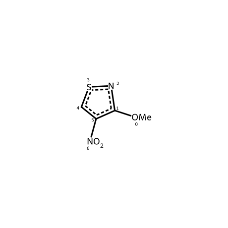 COc1nscc1[N+](=O)[O-]